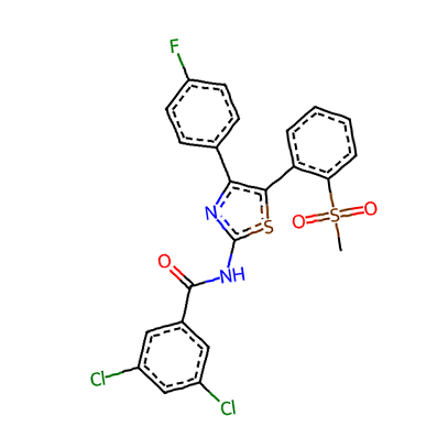 CS(=O)(=O)c1ccccc1-c1sc(NC(=O)c2cc(Cl)cc(Cl)c2)nc1-c1ccc(F)cc1